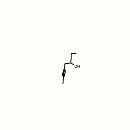 CC#CCC(O)CC